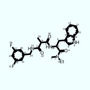 CCN(C)C(=O)C(Cc1c[nH]c2ccccc12)NC(=O)C(C)C(=O)NCc1cc(F)cc(F)c1